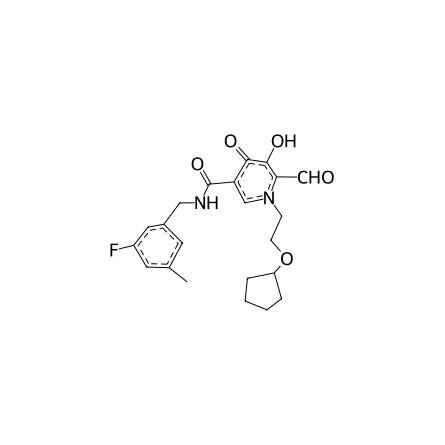 Cc1cc(F)cc(CNC(=O)c2cn(CCOC3CCCC3)c(C=O)c(O)c2=O)c1